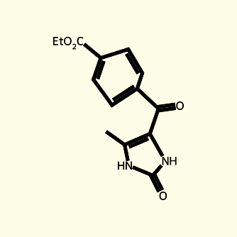 CCOC(=O)c1ccc(C(=O)c2[nH]c(=O)[nH]c2C)cc1